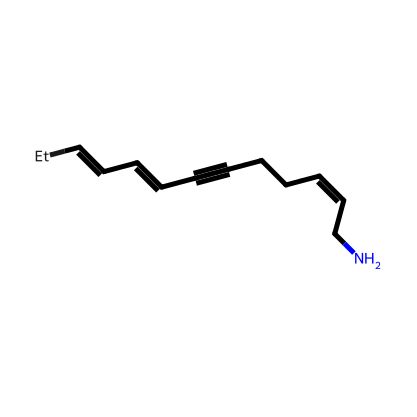 CC/C=C/C=C/C#CCC/C=C\CN